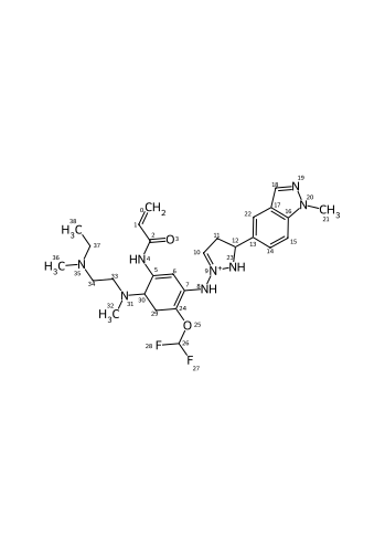 C=CC(=O)NC1=CC(N[N+]2=CCC(c3ccc4c(cnn4C)c3)N2)=C(OC(F)F)CC1N(C)CCN(C)CC